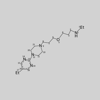 CCNCCCOCCCN1CCN(c2ncc(CC)cn2)CC1